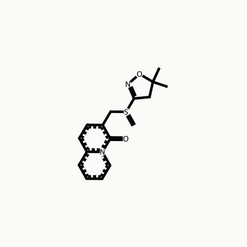 C=S(Cc1ccc2ccccn2c1=O)C1=NOC(C)(C)C1